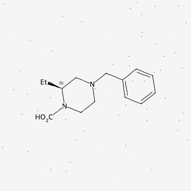 CC[C@H]1CN(Cc2ccccc2)CCN1C(=O)O